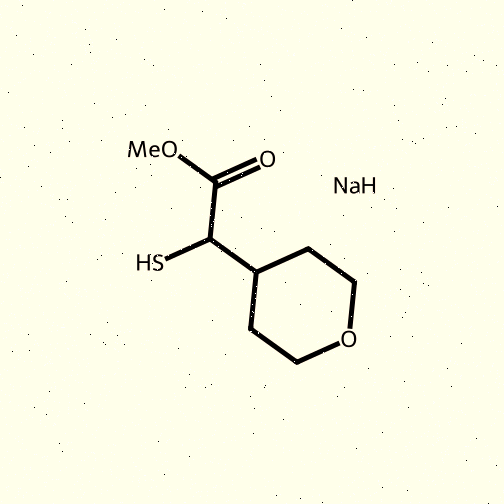 COC(=O)C(S)C1CCOCC1.[NaH]